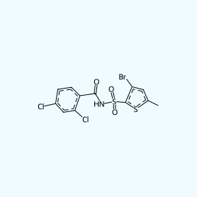 Cc1cc(Br)c(S(=O)(=O)NC(=O)c2ccc(Cl)cc2Cl)s1